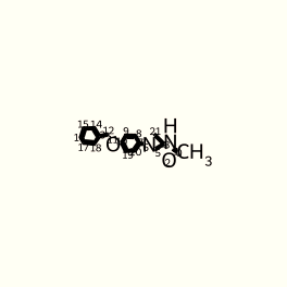 CC(=O)NC1CN(c2ccc(OCc3ccccc3)cc2)C1